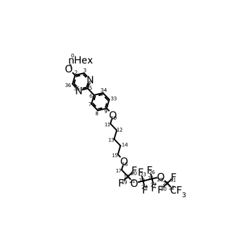 CCCCCCOc1cnc(-c2ccc(OCCCCCOCC(F)(F)OC(F)(F)C(F)(F)OC(F)(F)C(F)(F)F)cc2)nc1